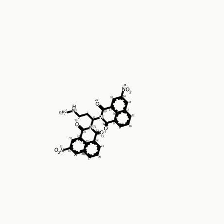 CCCNCCC(N1C(=O)c2cccc3cc([N+](=O)[O-])cc(c23)C1=O)N1C(=O)c2cccc3cc([N+](=O)[O-])cc(c23)C1=O